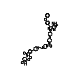 Nc1ncnc2c1c(-c1ccc(Oc3ccccc3)cc1)nn2C1CCN(C2CCN(C(=O)N3CCN(CCN4CCC(c5ccc6c(c5)C(=O)N(C5CCC(=O)NC5=O)C6=O)CC4)CC3)CC2)CC1